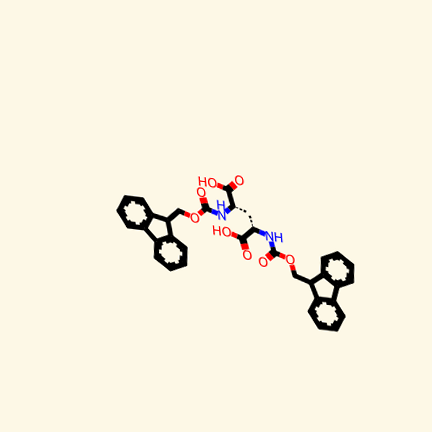 O=C(N[C@@H](C[C@H](NC(=O)OCC1c2ccccc2-c2ccccc21)C(=O)O)C(=O)O)OCC1c2ccccc2-c2ccccc21